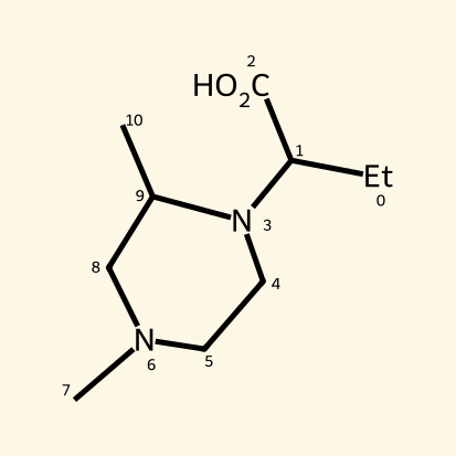 CCC(C(=O)O)N1CCN(C)CC1C